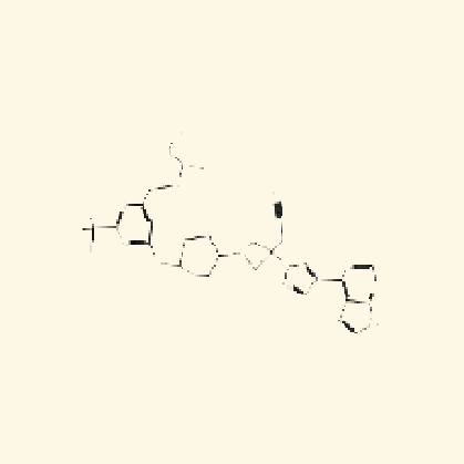 C[C@H](CO)NCc1cc(OC2CCC(N3CC(CC#N)(n4cc(-c5ncnc6[nH]ccc56)cn4)C3)CC2)nc(C(F)(F)F)n1